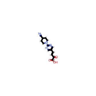 N#CC1CCN(c2ncc(C=CC(=O)C(=O)O)cn2)CC1